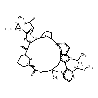 CCn1c(-c2cccnc2[C@H](C)OC)c2c3cc(ccc31)C1CSC(=N1)[C@@H](OCC(F)F)[C@H](NC(=O)[C@H]1[C@H](C)[C@@H]1C)C(=O)N1CCC[C@H](N1)C(=O)OCC(C)(C)C2